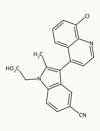 Cc1c(-c2ccnc3c(Cl)cccc23)c2cc(C#N)ccc2n1CC(=O)O